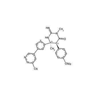 COc1ccc([C@@H]2C(=O)N(C)C(=N)N[C@]2(C)c2cc(-c3cncc(C#N)c3)cs2)cc1